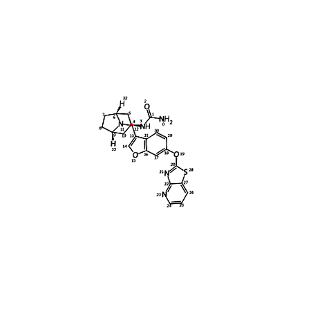 NC(=O)N[C@@H]1C[C@H]2CC[C@@H](C1)N2Cc1coc2cc(Oc3nc4ncccc4s3)ccc12